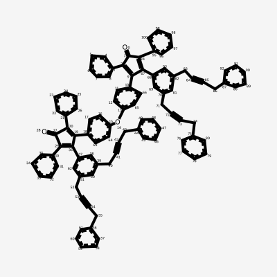 O=C1C(c2ccccc2)=C(c2ccc(Oc3ccc(C4=C(c5ccccc5)C(=O)C(c5ccccc5)=C4c4cc(CC#CCc5ccccc5)cc(CC#CCc5ccccc5)c4)cc3)cc2)C(c2cc(CC#CCc3ccccc3)cc(CC#CCc3ccccc3)c2)=C1c1ccccc1